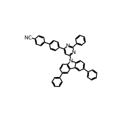 N#Cc1ccc(-c2ccc(-c3cc(-n4c5ccc(-c6ccccc6)cc5c5cc(-c6ccccc6)ccc54)nc(-c4ccccc4)n3)cc2)cc1